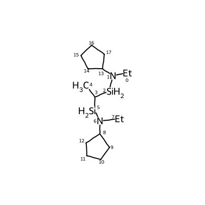 CCN([SiH2]C(C)[SiH2]N(CC)C1CCCC1)C1CCCC1